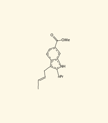 C/C=C/Cc1c(CCC)[nH]c2cc(C(=O)OC)ccc12